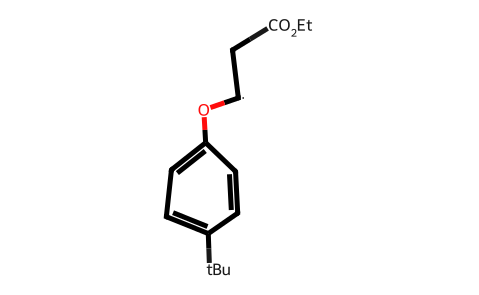 CCOC(=O)C[CH]Oc1ccc(C(C)(C)C)cc1